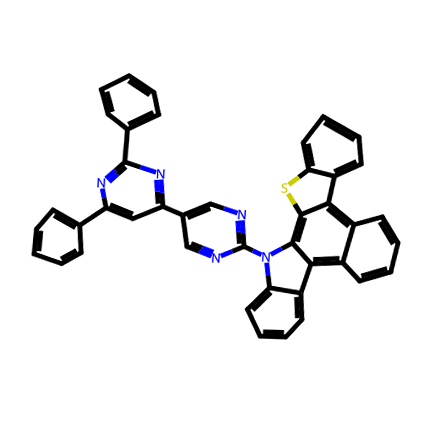 c1ccc(-c2cc(-c3cnc(-n4c5ccccc5c5c6ccccc6c6c7ccccc7sc6c54)nc3)nc(-c3ccccc3)n2)cc1